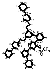 O=S(=O)(Oc1cc(-c2cccc(-c3ccccc3)c2)ncc1-c1ccccc1-c1cc(CCc2ccc(-c3ccccc3)nc2)cc(CCc2ccc(-c3ccccc3)nc2)c1)C(F)(F)F